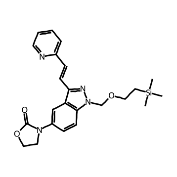 C[Si](C)(C)CCOCn1nc(/C=C/c2ccccn2)c2cc(N3CCOC3=O)ccc21